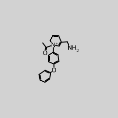 CC(=O)[N+]1(c2ccc(Oc3ccccc3)cc2)C=C(CN)C=CC1